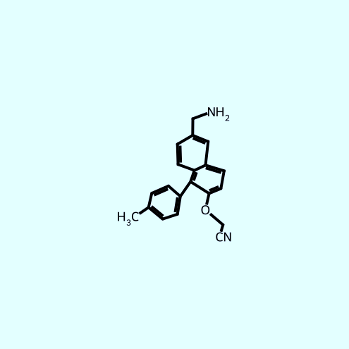 Cc1ccc(-c2c(OCC#N)ccc3cc(CN)ccc23)cc1